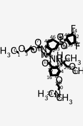 CCOCCOC(=O)n1nc(NC(=O)c2ccc(OCCN(C)C)cc2NC(C)COC)c2cc(S(=O)(=O)c3cc(F)cc(F)c3)ccc21